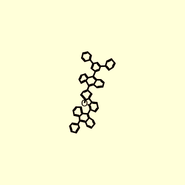 c1ccc(-c2cc(-c3ccccc3)cc(-c3c4ccccc4c(-c4ccc5oc6c(-c7c8ccccc8c(-c8ccccc8)c8ccccc78)cccc6c5c4)c4ccccc34)c2)cc1